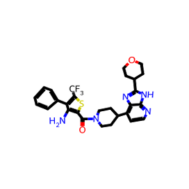 Nc1c(C(=O)N2CCC(c3ccnc4[nH]c(C5CCOCC5)nc34)CC2)sc(C(F)(F)F)c1-c1ccccc1